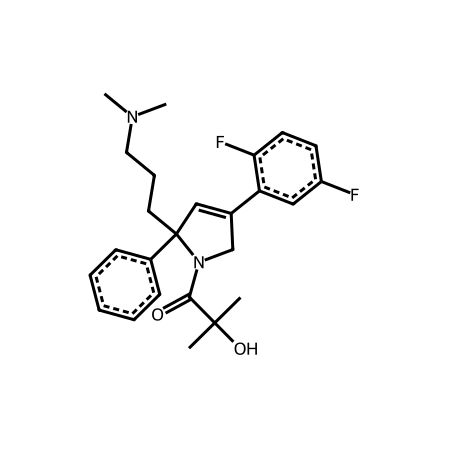 CN(C)CCCC1(c2ccccc2)C=C(c2cc(F)ccc2F)CN1C(=O)C(C)(C)O